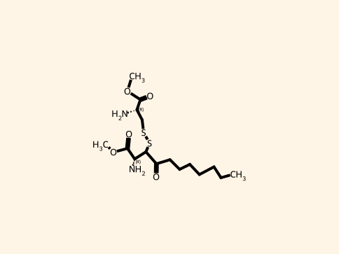 CCCCCCCC(=O)C(SSC[C@H](N)C(=O)OC)[C@H](N)C(=O)OC